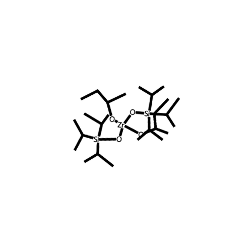 CCC(C)[O][Zr]([O]C(C)CC)([O][Si](C(C)C)(C(C)C)C(C)C)[O][Si](C(C)C)(C(C)C)C(C)C